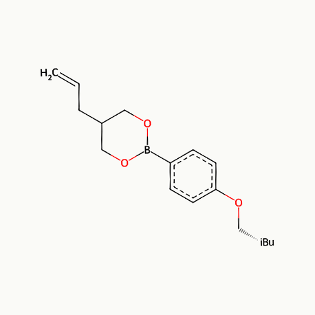 C=CCC1COB(c2ccc(OC[C@@H](C)CC)cc2)OC1